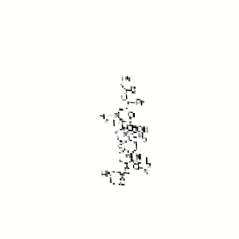 CC(C)CC(=O)OC(C(C)C)C1C[C@@H](C)[C@H]2C(O1)[C@H](O)[C@@]1(C)C3CC[C@H]4C(C)(C)C(O[C@H]5CNCCO5)CCC45CC35CCC21C